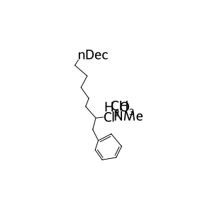 CCCCCCCCCCCCCCCC(Cl)Cc1ccccc1.CNC.O